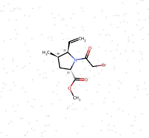 C=C[C@@H]1[C@H](C)C[C@@H](C(=O)OC)N1C(=O)CBr